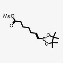 COC(=O)CCCC/C=C/B1OC(C)(C)C(C)(C)O1